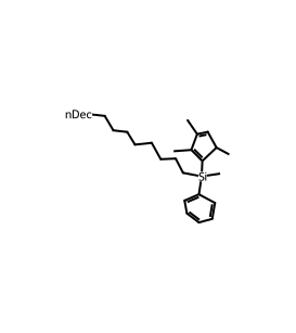 CCCCCCCCCCCCCCCCCC[Si](C)(C1=C(C)C(C)=CC1C)c1ccccc1